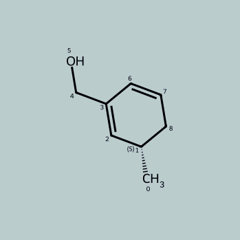 C[C@@H]1C=C(CO)C=CC1